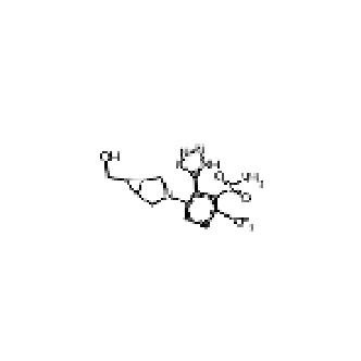 NS(=O)(=O)c1c(C(F)(F)F)ccc(N2CC3C(CO)C3C2)c1-c1nnn[nH]1